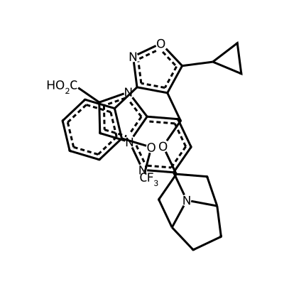 O=C(O)c1cn2nc(N3C4CCC3CC(OCc3c(-c5ccccc5OC(F)(F)F)noc3C3CC3)C4)ccc2n1